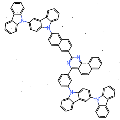 c1cc(-c2nc(-c3ccc4cc(-n5c6ccccc6c6cc(-n7c8ccccc8c8ccccc87)ccc65)ccc4c3)nc3c2ccc2ccccc23)cc(-n2c3ccccc3c3cc(-n4c5ccccc5c5ccccc54)ccc32)c1